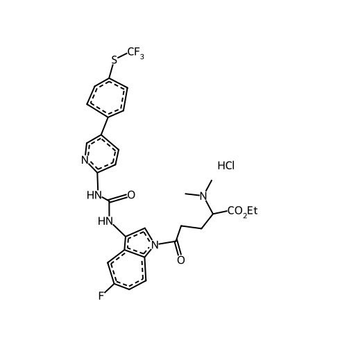 CCOC(=O)C(CCC(=O)n1cc(NC(=O)Nc2ccc(-c3ccc(SC(F)(F)F)cc3)cn2)c2cc(F)ccc21)N(C)C.Cl